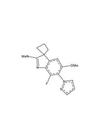 CNC1=Nc2c(cc(OC)c(-n3cccn3)c2F)C12CCC2